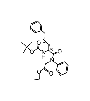 CCOC(=O)CN(C(=O)[C@H](CSCc1ccccc1)NC(=O)OC(C)(C)C)c1ccccc1